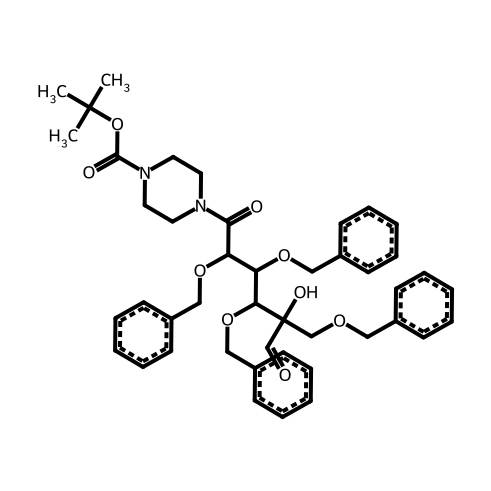 CC(C)(C)OC(=O)N1CCN(C(=O)C(OCc2ccccc2)C(OCc2ccccc2)C(OCc2ccccc2)C(O)(C=O)COCc2ccccc2)CC1